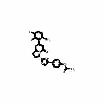 NC(=O)Oc1ccc(-c2cnc([C@@H]3CCC4CC(c5c(N)ccc(Cl)c5F)=CC(=O)N43)[nH]2)cn1